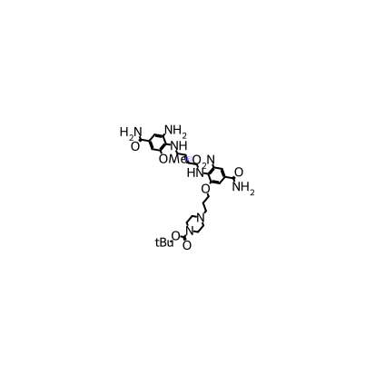 COc1cc(C(N)=O)cc(N)c1NC/C=C/CNc1c(OCCCN2CCN(C(=O)OC(C)(C)C)CC2)cc(C(N)=O)cc1[N+](=O)[O-]